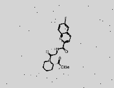 COC(=O)[C@@H]1CCCCN1C(=O)CNC(=O)c1ccc2cc(F)ccc2n1